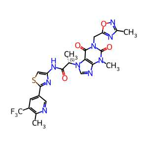 Cc1noc(Cn2c(=O)c3c(ncn3[C@@H](C)C(=O)Nc3csc(-c4cnc(C)c(C(F)(F)F)c4)n3)n(C)c2=O)n1